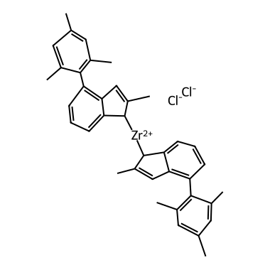 CC1=Cc2c(-c3c(C)cc(C)cc3C)cccc2[CH]1[Zr+2][CH]1C(C)=Cc2c(-c3c(C)cc(C)cc3C)cccc21.[Cl-].[Cl-]